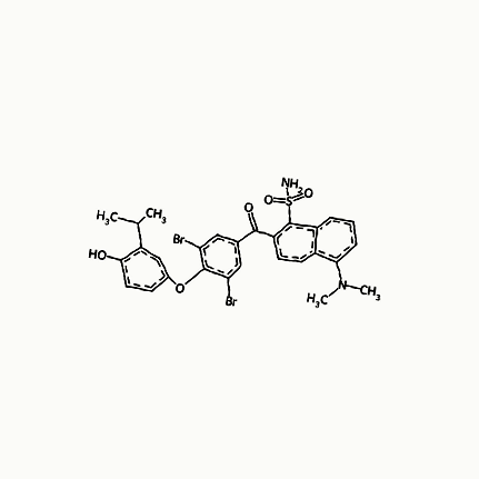 CC(C)c1cc(Oc2c(Br)cc(C(=O)c3ccc4c(N(C)C)cccc4c3S(N)(=O)=O)cc2Br)ccc1O